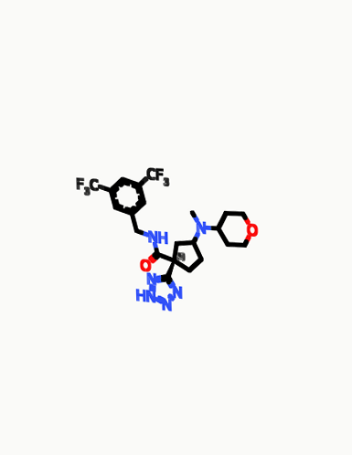 CN(C1CCOCC1)C1CC[C@@](C(=O)NCc2cc(C(F)(F)F)cc(C(F)(F)F)c2)(c2nn[nH]n2)C1